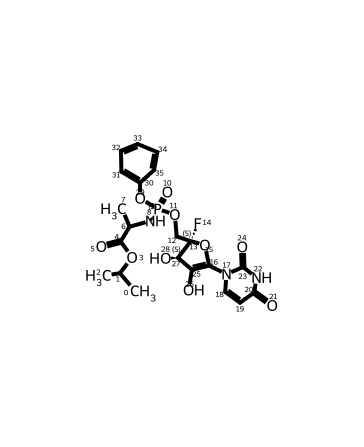 CC(C)OC(=O)C(C)N[P@](=O)(OC[C@@]1(F)OC(n2ccc(=O)[nH]c2=O)=C(O)[C@@H]1O)Oc1ccccc1